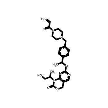 C=CC(=O)N1CCN(Cc2ccc(C(C)Nc3ncc4c(n3)N(C(C)CO)C(=O)OC4)cc2)CC1